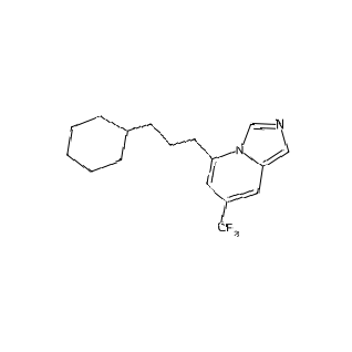 FC(F)(F)c1cc(CCCC2CCCCC2)n2cncc2c1